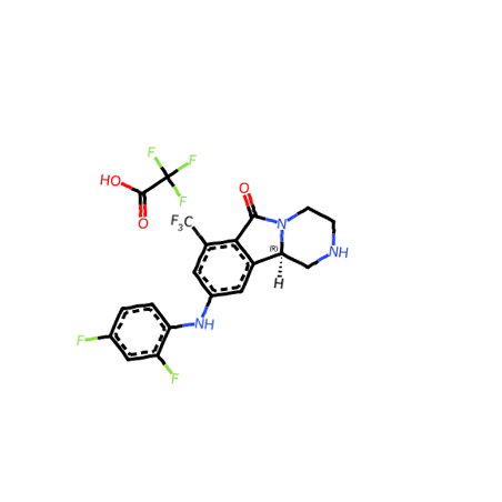 O=C(O)C(F)(F)F.O=C1c2c(cc(Nc3ccc(F)cc3F)cc2C(F)(F)F)[C@@H]2CNCCN12